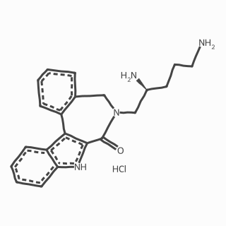 Cl.NCCC[C@H](N)CN1Cc2ccccc2-c2c([nH]c3ccccc23)C1=O